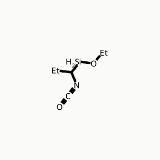 CCO[SiH2]C(CC)N=C=O